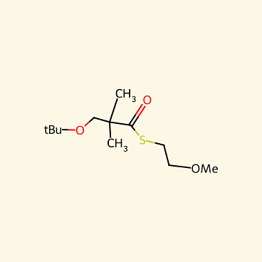 COCCSC(=O)C(C)(C)COC(C)(C)C